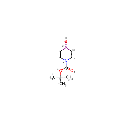 CC(C)(C)OC(=O)N1CC[PH](=O)CC1